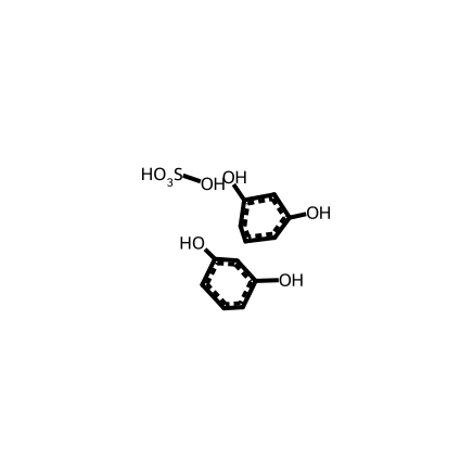 O=S(=O)(O)O.Oc1cccc(O)c1.Oc1cccc(O)c1